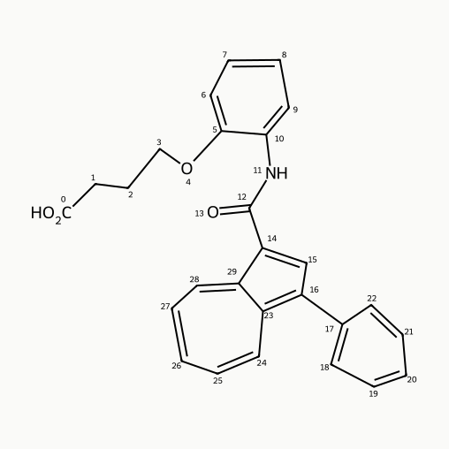 O=C(O)CCCOc1ccccc1NC(=O)c1cc(-c2ccccc2)c2cccccc1-2